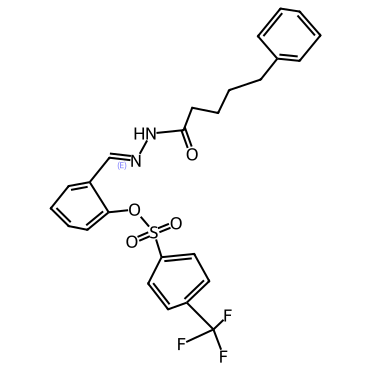 O=C(CCCCc1ccccc1)N/N=C/c1ccccc1OS(=O)(=O)c1ccc(C(F)(F)F)cc1